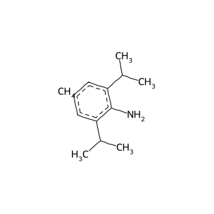 C.CC(C)c1cccc(C(C)C)c1N